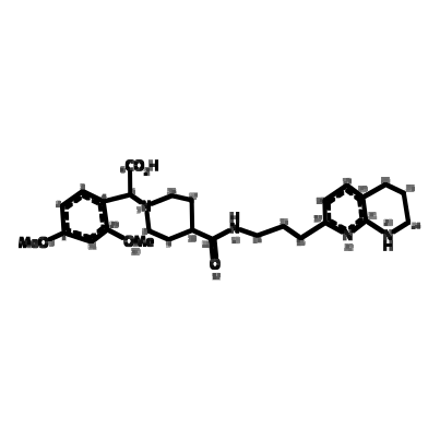 COc1ccc(C(C(=O)O)N2CCC(C(=O)NCCCc3ccc4c(n3)NCCC4)CC2)c(OC)c1